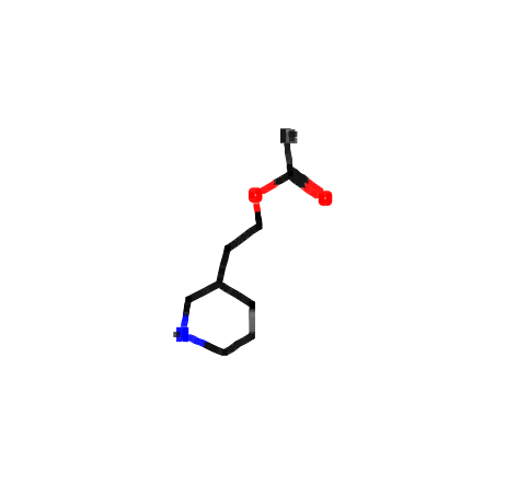 CCC(=O)OCCC1CCC[N]C1